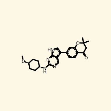 CO[C@H]1CC[C@@H](Nc2ncc3c(-c4ccc5c(c4)OC(C)(C)CC5=O)c[nH]c3n2)CC1